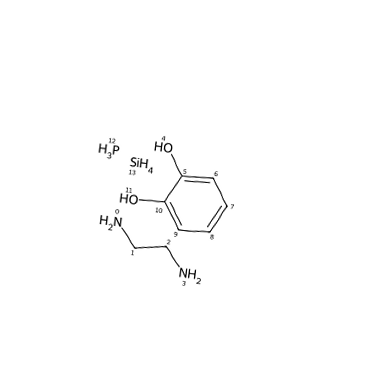 NCCN.Oc1ccccc1O.P.[SiH4]